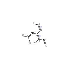 C=N/C(C)=C(\C=C/C)N=C(C)C